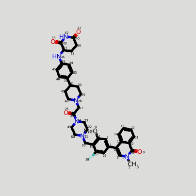 COc1cc(-c2cn(C)c(=O)c3ccccc23)cc(F)c1CN1CCN(C(=O)CN2CCC(c3ccc(NC4CCC(=O)NC4=O)cc3)CC2)CC1